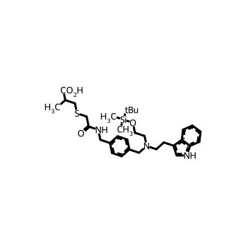 CC(CSCC(=O)NCc1ccc(CN(CCO[Si](C)(C)C(C)(C)C)CCc2c[nH]c3ccccc23)cc1)C(=O)O